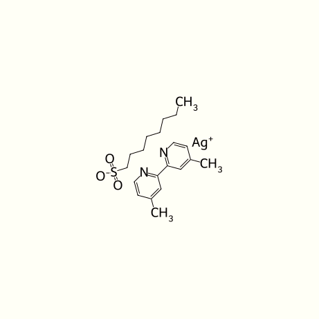 CCCCCCCCS(=O)(=O)[O-].Cc1ccnc(-c2cc(C)ccn2)c1.[Ag+]